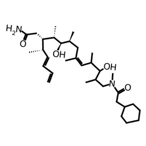 C=CC=C[C@H](C)[C@H](CC(N)=O)[C@H](C)[C@H](O)[C@@H](C)CC(C)=CC(C)C(O)C(C)CN(C)C(=O)CC1CCCCC1